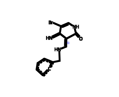 N=C1C(Br)=CNC(=O)/C1=C/NCc1ccccc1